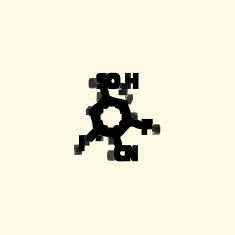 N#Cc1c(F)cc(S(=O)(=O)O)cc1F